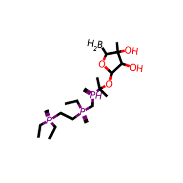 BC1OC(OC(C)(C)[PH](=C)CP(=C)(CC)CCP(=C)(CC)CC)C(O)C1(C)O